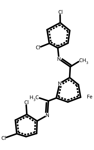 CC(=Nc1ccc(Cl)cc1Cl)c1cccc(C(C)=Nc2ccc(Cl)cc2Cl)n1.[Fe]